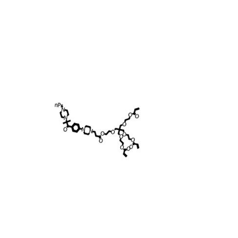 C=CC(=O)OCCOCC(COCCOC(=O)C=C)(COCCOC(=O)C=C)COCCOC(=O)CCN1CCN(c2ccc(C(=O)C(C)(C)N3CCN(CCC)CC3)cc2)CC1